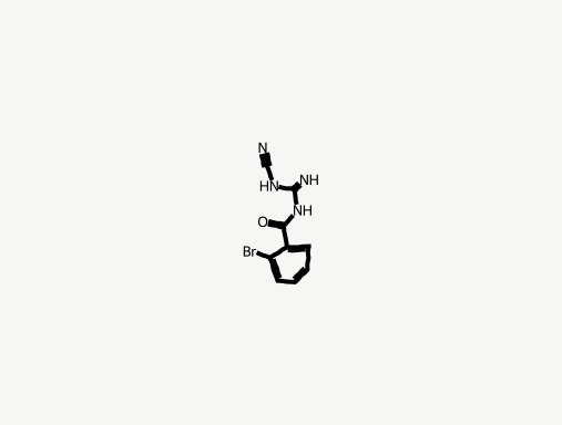 N#CNC(=N)NC(=O)c1ccccc1Br